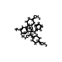 C=C1CCN(c2cc(F)ccc2C(O)(Cn2cncn2)[C@@H](C)N2CCC(=C)CC2)CC1